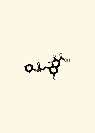 O=C(CCc1cc(Cl)cc2cc(C(=O)O)c(=O)[nH]c12)Nc1ccccc1